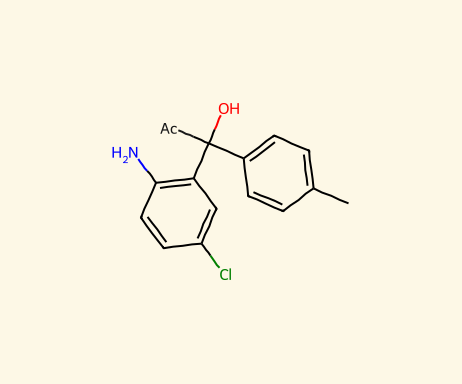 CC(=O)C(O)(c1ccc(C)cc1)c1cc(Cl)ccc1N